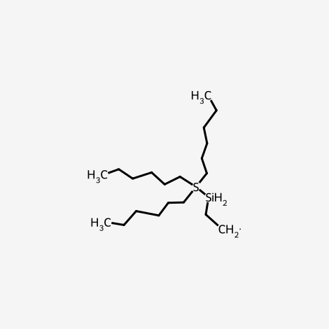 [CH2]C[SiH2]S(CCCCCC)(CCCCCC)CCCCCC